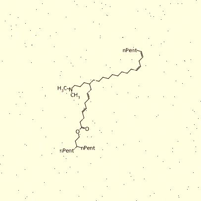 CCCCC/C=C\C/C=C\CCCCCCCCCC(C/C=C/C/C=C/CCC(=O)OCCC(CCCCC)CCCCC)CCCN(C)C